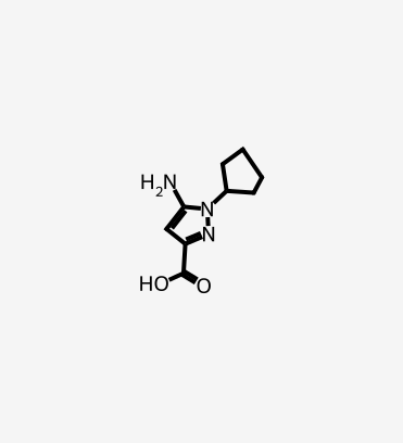 Nc1cc(C(=O)O)nn1C1CCCC1